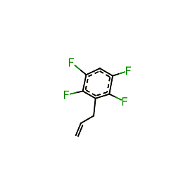 C=CCc1c(F)c(F)cc(F)c1F